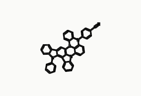 N#Cc1ccc(N2c3ccccc3B3c4c2cccc4-n2c4ccccc4c4c2c3cc2c3ccccc3n(-c3ccccc3)c24)cc1